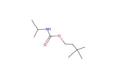 CC(C)NC(=O)OCCC(C)(C)C